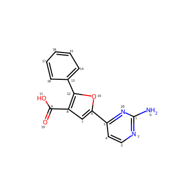 Nc1nccc(-c2cc(C(=O)O)c(-c3ccccc3)o2)n1